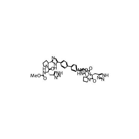 COC(=O)N[C@@H](Cc1c[nH]nn1)C(=O)N1CCC[C@H]1c1ncc(-c2ccc(-c3ccc(-c4cnc([C@]56CCCN5C(=O)[C@H](Cc5c[nH]nn5)N6C(=O)OC)[nH]4)cc3)cc2)[nH]1